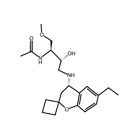 CCc1ccc2c(c1)[C@@H](NC[C@@H](O)[C@H](COC)NC(C)=O)CC1(CCC1)O2